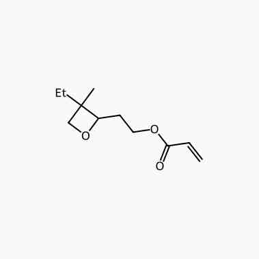 C=CC(=O)OCCC1OCC1(C)CC